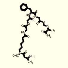 CCCC(OCNC(=O)CNC(=O)C(Cc1ccccc1)NC(=O)CNC(=O)CNC(=O)CCCCCN(C=O)C(=O)CC(C)N)C(N)=O